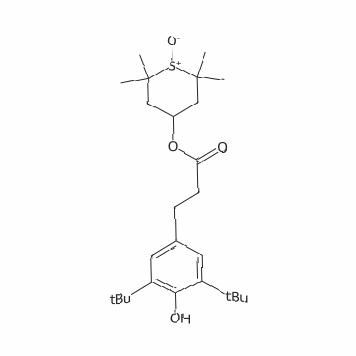 CC(C)(C)c1cc(CCC(=O)OC2CC(C)(C)[S+]([O-])C(C)(C)C2)cc(C(C)(C)C)c1O